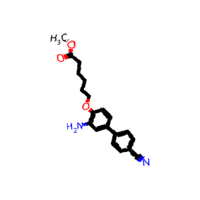 COC(=O)CCCCCOc1ccc(-c2ccc(C#N)cc2)cc1N